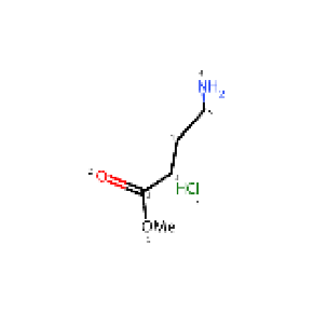 COC(=O)CCCN.Cl